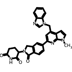 Cn1ccc2c(Cn3cnc4ccccc43)cc(-c3ccc4c(c3)CN(C3CCC(=O)NC3=O)C4=O)nc21